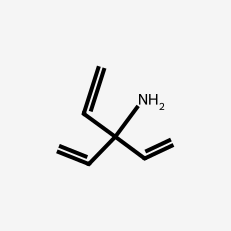 C=CC(N)(C=C)C=C